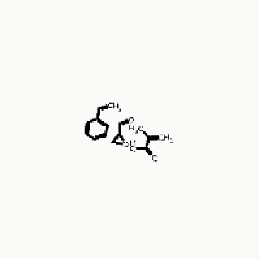 C=C(C)C(=O)O.C=Cc1ccccc1.O=CC1CO1